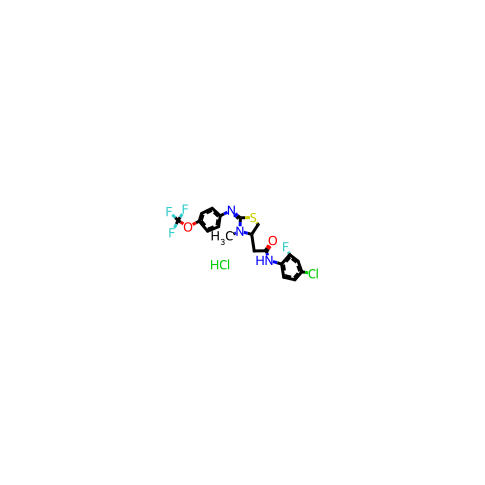 CN1/C(=N\c2ccc(OC(F)(F)F)cc2)SCC1CC(=O)Nc1ccc(Cl)cc1F.Cl